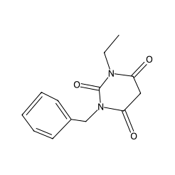 CCN1C(=O)CC(=O)N(Cc2ccccc2)C1=O